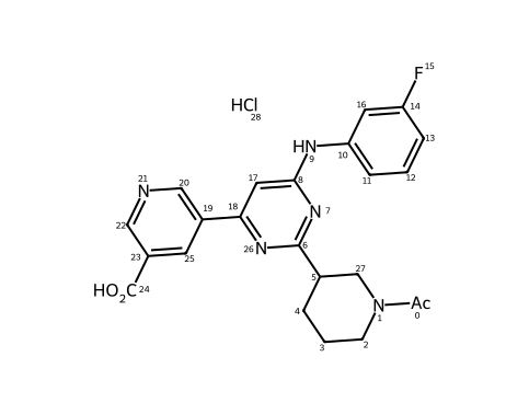 CC(=O)N1CCCC(c2nc(Nc3cccc(F)c3)cc(-c3cncc(C(=O)O)c3)n2)C1.Cl